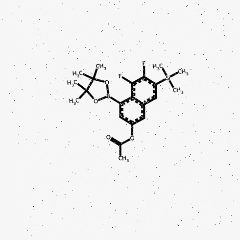 CC(=O)Oc1cc(B2OC(C)(C)C(C)(C)O2)c2c(F)c(F)c([Si](C)(C)C)cc2c1